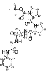 CC(C)(C)OC(=O)N1CCCC1C(=O)N1CCCC1C(=O)NC(C)(C)C(=O)NCC(=O)Nc1ccccc1